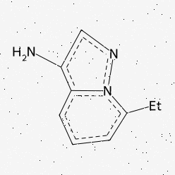 CCc1cccc2c(N)cnn12